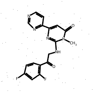 Cn1c(NCC(=O)c2ccc(F)cc2F)nc(-c2ccncn2)cc1=O